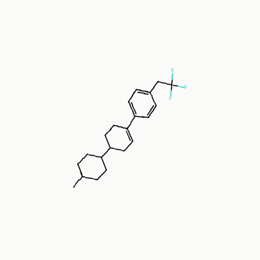 CC1CCC(C2CC=C(c3ccc(CC(F)(F)F)cc3)CC2)CC1